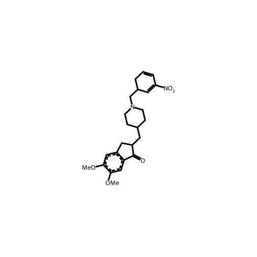 COc1cc2c(cc1OC)C(=O)C(CC1CCN(CC3C=C([N+](=O)[O-])C=CC3)CC1)C2